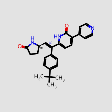 CC(C)(C)c1ccc(/C(=C\[C@H]2CCC(=O)N2)c2ccc(-c3ccncc3)c(=O)[nH]2)cc1